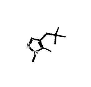 Cc1c(CC(C)(C)C)cnn1C